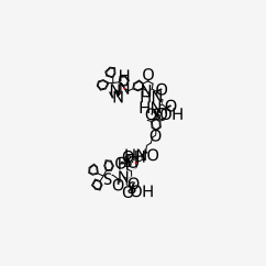 Cc1cc(OCCCC(=O)NCCC[C@H](C[C@H](CS(=O)(=O)O)NC(=O)CSC(c2ccccc2)(c2ccccc2)c2ccccc2)CS(=O)(=O)O)cc(C)c1S(=O)(=O)N[C@@H](CNC(=O)C1CC(=O)c2ccc(CNc3nccn3C(c3ccccc3)(c3ccccc3)c3ccccc3)cc2N1C)C(=O)O